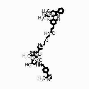 Cc1ncsc1-c1ccc(CNC(=O)[C@@H]2C[C@@H](O)CN2C(=O)C(NC(=O)c2cnn(CCOCCNC(=O)/C=C/c3cc(F)c([C@@H]4c5[nH]c6ccccc6c5C[C@@H](C)N4CC(C)(C)F)c(F)c3)c2)C(C)(C)C)cc1